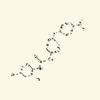 O=C(Nc1ccc(Sc2ccc([N+](=O)[O-])cc2)cc1)Nc1ccc(Cl)cc1Cl